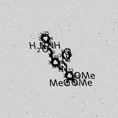 COc1cc(N(CCN2CCOCC2)Cc2ccc(C=CC(=O)Nc3ccccc3N)cc2)cc(OC)c1OC